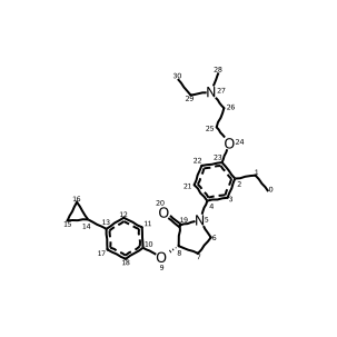 CCc1cc(N2CC[C@H](Oc3ccc(C4CC4)cc3)C2=O)ccc1OCCN(C)CC